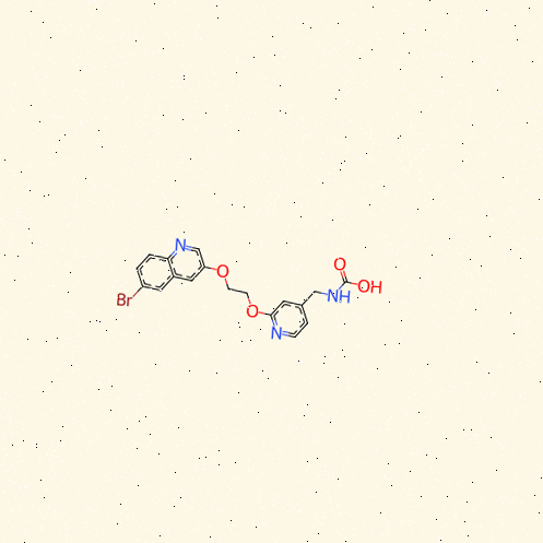 O=C(O)NCc1ccnc(OCCOc2cnc3ccc(Br)cc3c2)c1